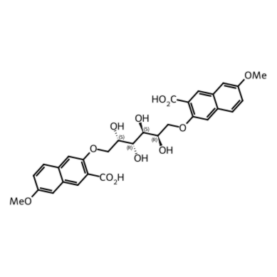 COc1ccc2cc(OC[C@@H](O)[C@H](O)[C@H](O)[C@@H](O)COc3cc4ccc(OC)cc4cc3C(=O)O)c(C(=O)O)cc2c1